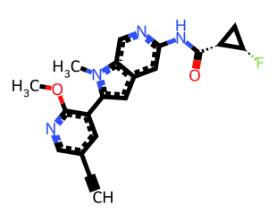 C#Cc1cnc(OC)c(-c2cc3cc(NC(=O)[C@@H]4C[C@@H]4F)ncc3n2C)c1